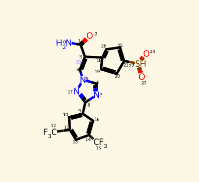 NC(=O)/C(=C/n1cnc(-c2cc(C(F)(F)F)cc(C(F)(F)F)c2)n1)c1ccc([SH](=O)=O)cc1